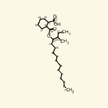 CCCCCCCCCCCCC(OC(=O)C1CCCCC1C(=O)O)C(C)CC